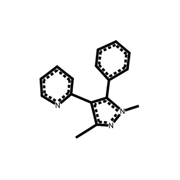 Cc1nn(C)c(-c2ccccc2)c1-c1ccccn1